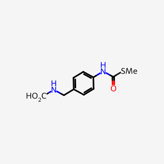 CSC(=O)Nc1ccc(CNC(=O)O)cc1